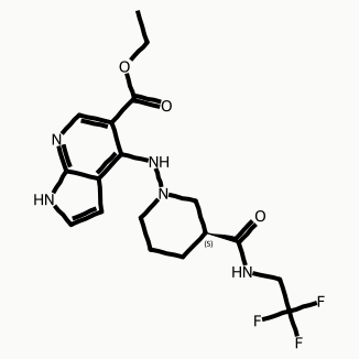 CCOC(=O)c1cnc2[nH]ccc2c1NN1CCC[C@H](C(=O)NCC(F)(F)F)C1